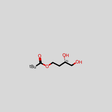 CC(C)(C)C(=O)OCC[C@H](O)CO